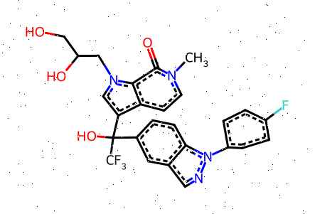 Cn1ccc2c(C(O)(c3ccc4c(cnn4-c4ccc(F)cc4)c3)C(F)(F)F)cn(CC(O)CO)c2c1=O